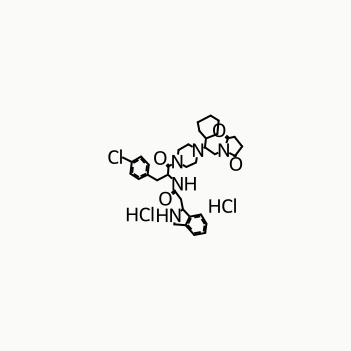 Cl.Cl.O=C(CC1NCc2ccccc21)NC(Cc1ccc(Cl)cc1)C(=O)N1CCN(C(CN2C(=O)CCC2=O)C2CCCCC2)CC1